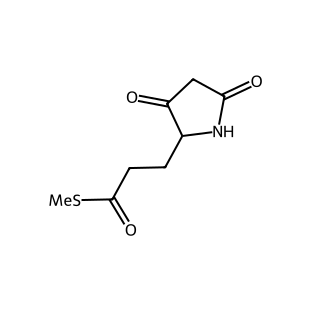 CSC(=O)CCC1NC(=O)CC1=O